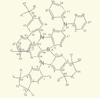 Cc1cc2c(cc1N1c3cc4c(cc3B3c5ccc(N(c6ccccc6)c6ccccc6)cc5N(c5ccc(C(C)(C)C)cc5-c5ccccc5)c5cc(C(C)(C)C)cc1c53)C(C)(C)CCC4(C)C)C(C)(C)CC2(C)C